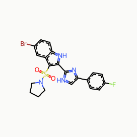 O=S(=O)(c1c(-c2nc(-c3ccc(F)cc3)c[nH]2)[nH]c2ccc(Br)cc12)N1CCCC1